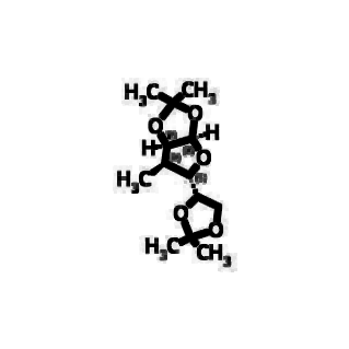 C[C@H]1[C@H]2OC(C)(C)O[C@H]2O[C@@H]1C1COC(C)(C)O1